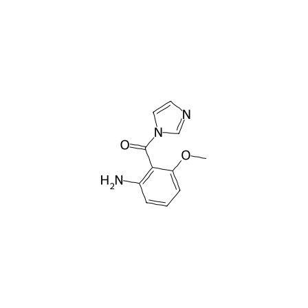 COc1cccc(N)c1C(=O)n1ccnc1